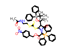 CC(=O)NCCSC(=S)SC1C(C(C)O[Si](c2ccccc2)(c2ccccc2)C(C)(C)C)C(=O)N1C(C(=O)OCc1ccc([N+](=O)[O-])cc1)=P(c1ccccc1)(c1ccccc1)c1ccccc1